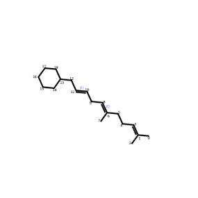 CC(C)=CCC/C(C)=C/C/C=C/CC1CCCCC1